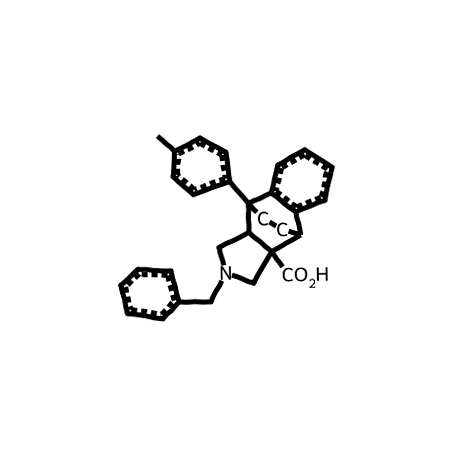 Cc1ccc(C23CCC(c4ccccc42)C2(C(=O)O)CN(Cc4ccccc4)CC32)cc1